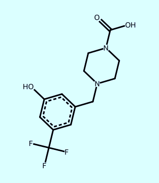 O=C(O)N1CCN(Cc2cc(O)cc(C(F)(F)F)c2)CC1